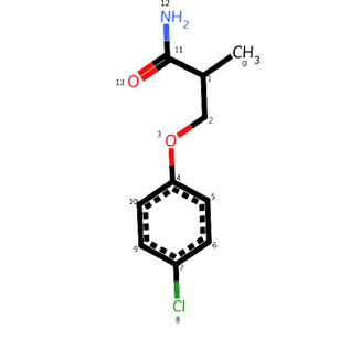 CC(COc1ccc(Cl)cc1)C(N)=O